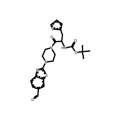 CC(C)(C)OC(=O)NC(Cc1cccs1)C(=O)N1CCN(c2nc3ccc(C=O)cc3s2)CC1